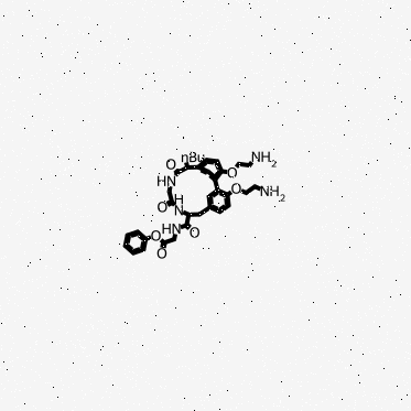 CCCCC1C(=O)NCC(=O)NC(C(=O)NCC(=O)Oc2ccccc2)Cc2ccc(OCCN)c(c2)-c2cc1ccc2OCCN